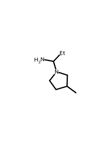 CCC(N)N1CCC(C)C1